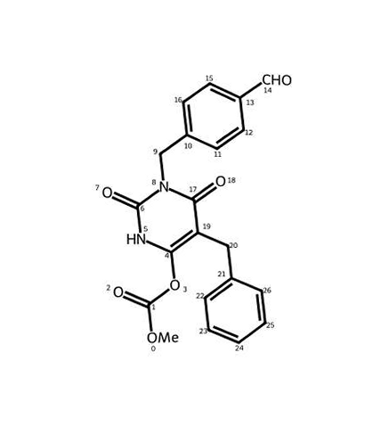 COC(=O)Oc1[nH]c(=O)n(Cc2ccc(C=O)cc2)c(=O)c1Cc1ccccc1